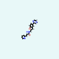 O=C(C=Cc1ccccn1)NCC1Cc2cc(-c3cnccn3)ccc2O1